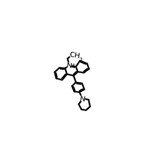 CC[n+]1c2ccccc2c(-c2ccc(N3CCCCC3)cc2)c2ccccc21